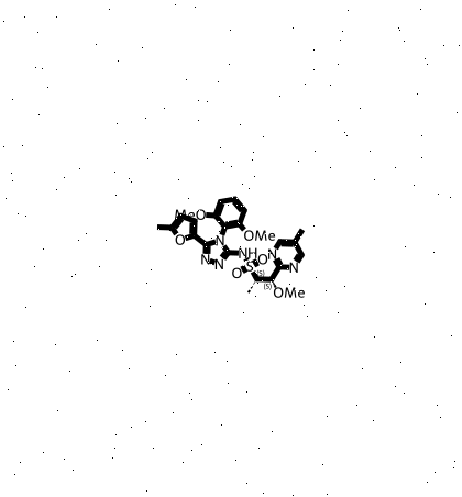 COc1cccc(OC)c1-n1c(NS(=O)(=O)[C@@H](C)[C@@H](OC)c2ncc(C)cn2)nnc1-c1ccc(C)o1